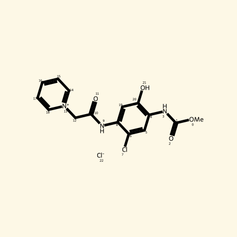 COC(=O)Nc1cc(Cl)c(NC(=O)C[n+]2ccccc2)cc1O.[Cl-]